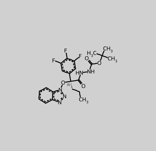 CCC[C@@](On1nnc2ccccc21)(C(=O)NNC(=O)OC(C)(C)C)c1cc(F)c(F)c(F)c1